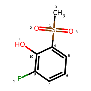 CS(=O)(=O)c1cccc(F)c1O